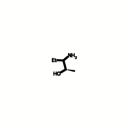 CCC(N)[C@H](C)O